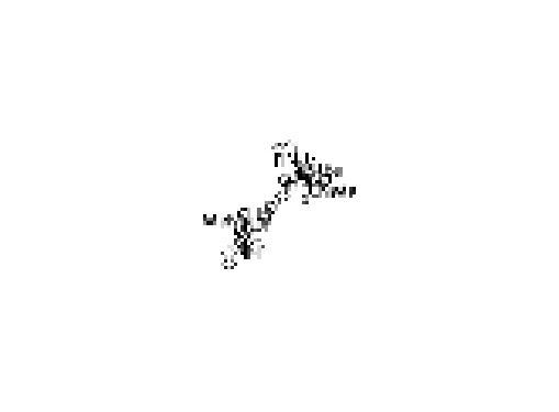 CN[C@@H](C)C(=O)N[C@@H](Cc1ccc(OCc2ccc(C(=O)N[C@H]3C[C@@H](C(=O)N[C@@H]4CCCc5ccccc54)N(C(=O)[C@@H](NC(=O)[C@H](C)NC)C(C)(C)C)C3)cc2)cc1)C(=O)[C@@H]1CC=CC[C@H]1C(=O)N[C@@H]1CCCc2ccccc21